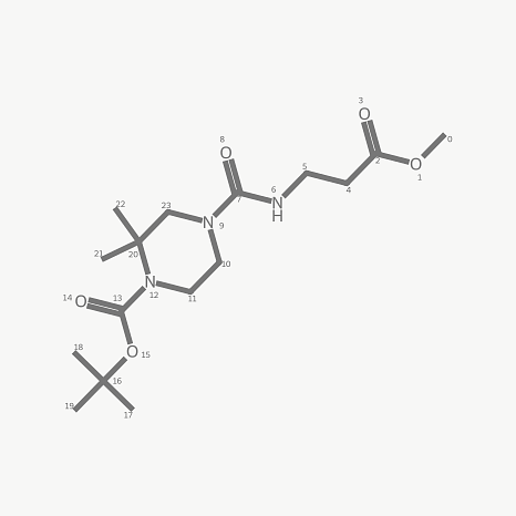 COC(=O)CCNC(=O)N1CCN(C(=O)OC(C)(C)C)C(C)(C)C1